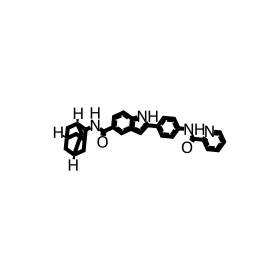 O=C(NC1C2C[C@H]3C[C@@H](C2)C[C@@H]1C3)c1ccc2[nH]c(-c3ccc(NC(=O)c4ccccn4)cc3)cc2c1